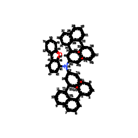 c1ccc(-c2cccc3cccc(-c4cccc(N(c5cccc(-c6cccc7cccc(-c8ccccc8)c67)c5)c5cccc6c5oc5ccccc56)c4)c23)cc1